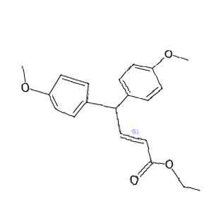 CCOC(=O)/C=C/C(c1ccc(OC)cc1)c1ccc(OC)cc1